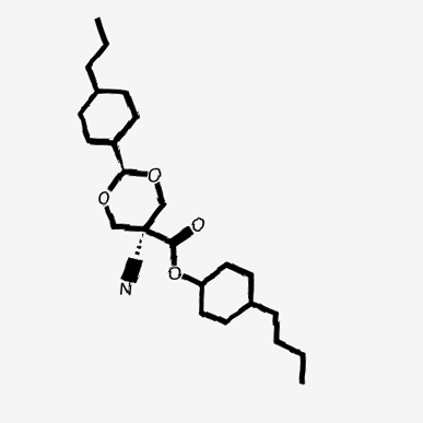 CCCCC1CCC(OC(=O)[C@]2(C#N)CO[C@H](C3CCC(CCC)CC3)OC2)CC1